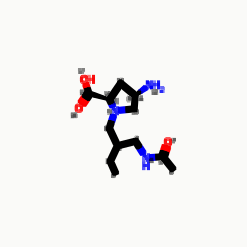 CCC(CNC(C)=O)CN1C[C@H](N)C[C@@H]1C(=O)O